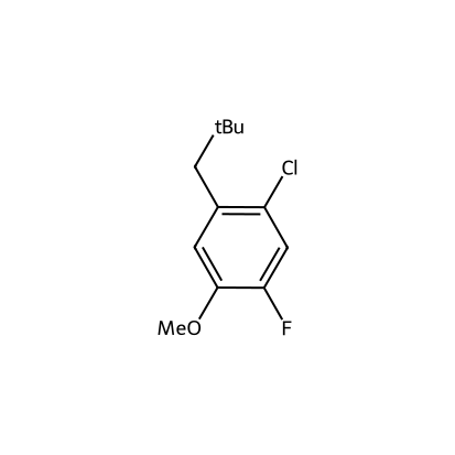 COc1cc(CC(C)(C)C)c(Cl)cc1F